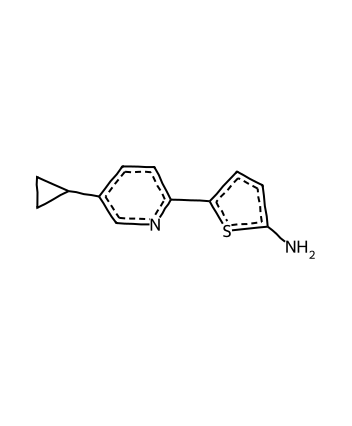 Nc1ccc(-c2ccc(C3CC3)cn2)s1